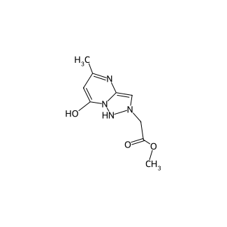 COC(=O)CN1C=C2N=C(C)C=C(O)N2N1